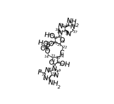 Nc1nc(F)nc2c1ncn2C1OC2COP(=O)(O)OC3C(CCCC2C1O)OC(n1cnc2c(N)ncnc21)C3O